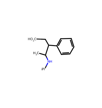 CC(C)NC(C)C(CC(=O)O)c1ccccc1